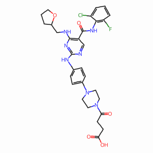 O=C(O)CCC(=O)N1CCN(c2ccc(Nc3ncc(C(=O)Nc4c(F)cccc4Cl)c(NCC4CCCO4)n3)cc2)CC1